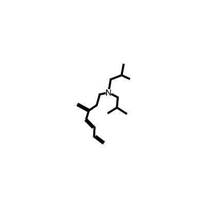 C=CC=CC(=C)CCN(CC(C)C)CC(C)C